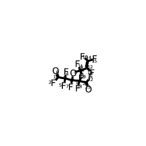 O=C(F)C(F)(F)C(F)(OC(F)(F)C(F)=C(F)F)C(F)(F)C(=O)F